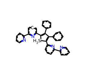 c1ccc(C2=C(c3cccc(-c4ccccn4)n3)[SiH2]C(c3cccc(-c4ccccn4)n3)=C2c2ccccc2)cc1